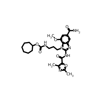 COc1cc(C(N)=O)cc2nc(NC(=O)c3oc(C)nc3C)n(CCCNC(=O)OC3CCCCCC3)c12